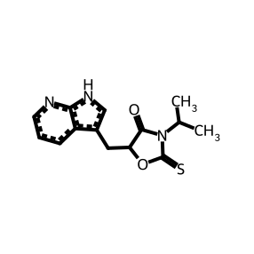 CC(C)N1C(=O)C(Cc2c[nH]c3ncccc23)OC1=S